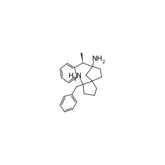 C[C@H](c1ccccc1)C1(N)CCC2(CCCC2(N)Cc2ccccc2)C1